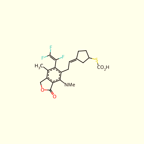 CNc1c(CC=C2CCC(SC(=O)O)C2)c(C(F)=C(F)F)c(C)c2c1C(=O)OC2